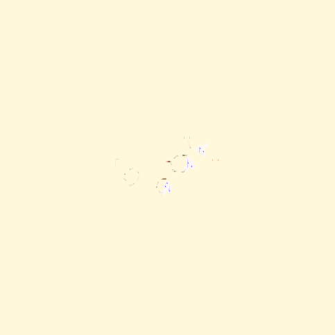 O=C1c2c(O)c(=O)c(-c3ncc(Cc4ccc(F)cc4F)s3)cn2CC2OCCCN12